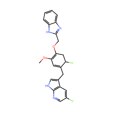 COC1=C(OCc2nc3ccccc3[nH]2)CC(F)C(Cc2c[nH]c3ncc(F)cc23)=C1